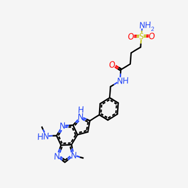 CNc1nc2[nH]c(-c3cccc(CNC(=O)CCCS(N)(=O)=O)c3)cc2c2c1ncn2C